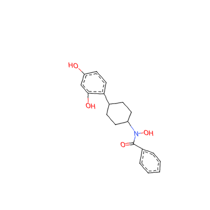 O=C(c1ccccc1)N(O)C1CCC(c2ccc(O)cc2O)CC1